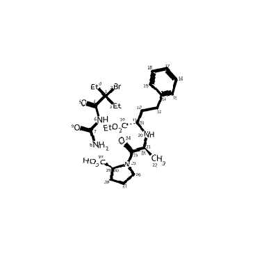 CCC(Br)(CC)C(=O)NC(N)=O.CCOC(=O)[C@H](CCc1ccccc1)N[C@@H](C)C(=O)N1CCC[C@H]1C(=O)O